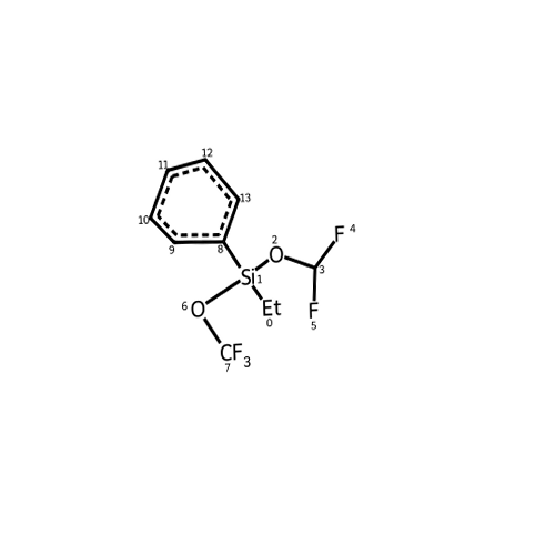 CC[Si](OC(F)F)(OC(F)(F)F)c1ccccc1